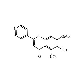 COc1cc2oc(-c3ccncc3)cc(=O)c2c(N=O)c1O